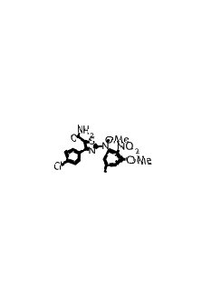 COc1cc(C)cc(N(OC)c2nc(-c3ccc(Cl)cc3)c(C(N)=O)s2)c1[N+](=O)[O-]